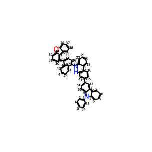 c1ccc(-n2c3ccccc3c3cc(-c4ccc(-c5ccccc5Nc5ccc(-c6cccc7oc8ccccc8c67)c6ccccc56)cc4)ccc32)cc1